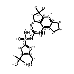 CC(C)(O)c1sc([S@](N)(=O)=NC(=O)Nc2c3c(nc4c2CCC4(C)C)CCC3)nc1CO